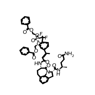 C/C(=C\C(=O)N[C@H]1CCc2cccc3c2N(C1=O)[C@H](C(=O)N[C@H](C)CCC(N)=O)C3)c1ccc(C(F)(F)P(=O)(OCOC(=O)c2ccccc2)OCOC(=O)c2ccccc2)cc1